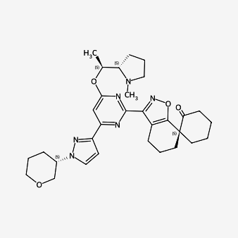 C[C@H](Oc1cc(-c2ccn([C@H]3CCCOC3)n2)nc(-c2noc3c2CCC[C@@]32CCCCC2=O)n1)[C@@H]1CCCN1C